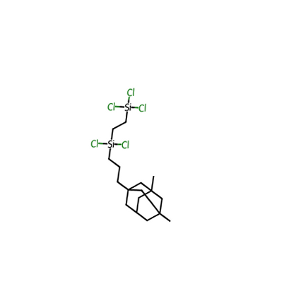 CC12CC3CC(C)(C1)CC(CCC[Si](Cl)(Cl)CC[Si](Cl)(Cl)Cl)(C3)C2